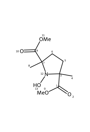 COC(=O)C1(C)CCC(C)(C(=O)OC)N1O